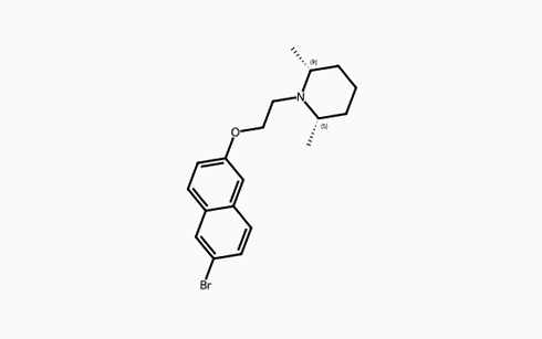 C[C@@H]1CCC[C@H](C)N1CCOc1ccc2cc(Br)ccc2c1